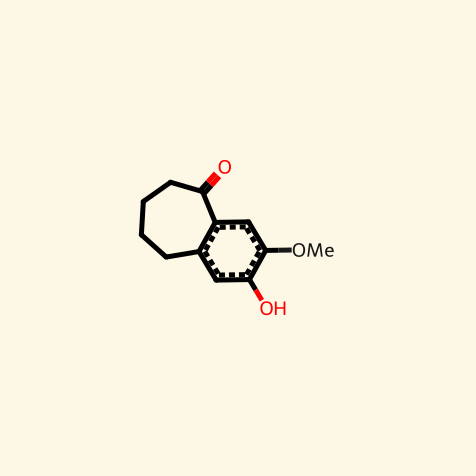 COc1cc2c(cc1O)CCCCC2=O